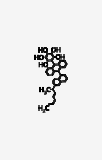 C=C/C=C\C=CC(C)c1ccc2c(-c3c4ccccc4c(-c4c(O)c(O)c(O)c(O)c4O)c4ccccc34)cccc2c1